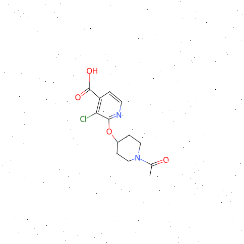 CC(=O)N1CCC(Oc2nccc(C(=O)O)c2Cl)CC1